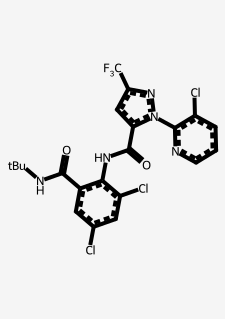 CC(C)(C)NC(=O)c1cc(Cl)cc(Cl)c1NC(=O)c1cc(C(F)(F)F)nn1-c1ncccc1Cl